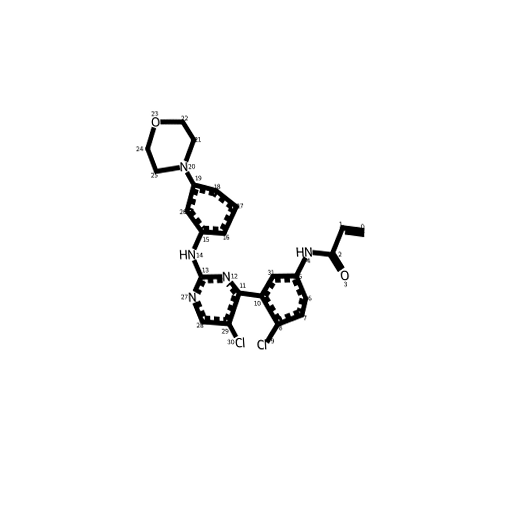 C=CC(=O)Nc1ccc(Cl)c(-c2nc(Nc3cccc(N4CCOCC4)c3)ncc2Cl)c1